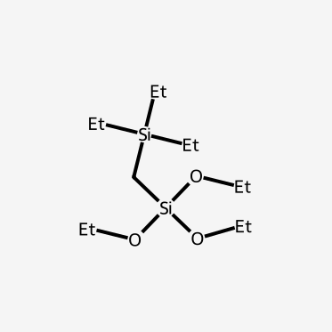 CCO[Si](C[Si](CC)(CC)CC)(OCC)OCC